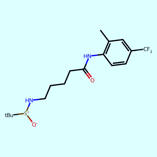 Cc1cc(C(F)(F)F)ccc1NC(=O)CCCCN[S+]([O-])C(C)(C)C